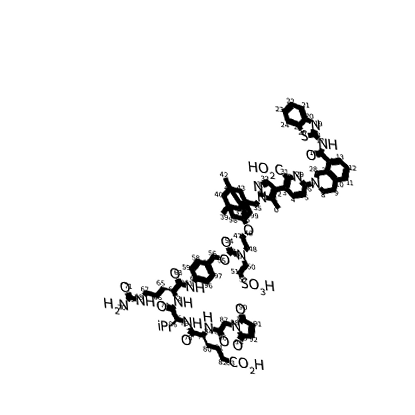 Cc1c(-c2ccc(N3CCc4cccc(C(=O)Nc5nc6ccccc6s5)c4C3)nc2C(=O)O)cnn1CC12CC3(C)CC(C)(C1)CC(OCCN(CCS(=O)(=O)O)C(=O)OCc1ccc(NC(=O)[C@H](CCCNC(N)=O)NC(=O)[C@@H](NC(=O)[C@H](CCCC(=O)O)NC(=O)CN4C(=O)C=CC4=O)C(C)C)cc1)(C3)C2